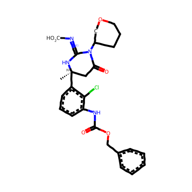 C[C@@]1(c2cccc(NC(=O)OCc3ccccc3)c2Cl)CC(=O)N(C2CCCOC2)/C(=N/C(=O)O)N1